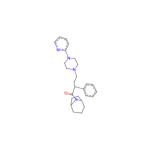 O=C(C(CCN1CCN(c2ccccn2)CC1)c1ccccc1)N1C2CCCC1CC2